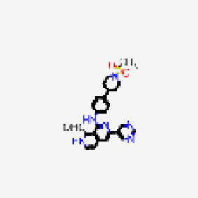 CS(=O)(=O)N1CCC(c2ccc(Nc3nc(-c4cncnc4)cc4c3C(C=O)NC=C4)cc2)CC1